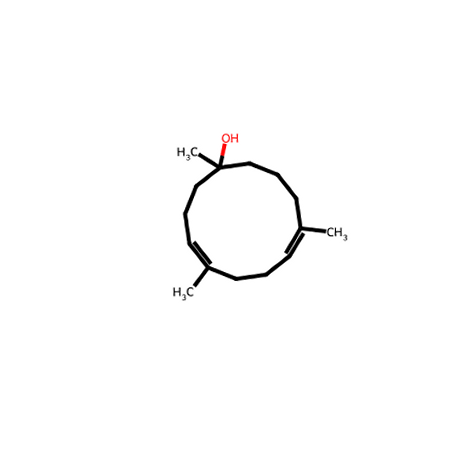 C/C1=C/CCC(C)(O)CCC/C(C)=C\CC1